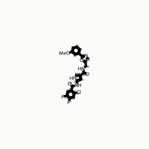 COc1cccc(-c2nnc(CNC(=O)c3cc(NC(=O)c4cc(F)c(F)cc4Cl)[nH]n3)o2)c1